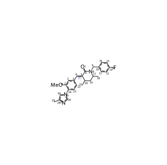 COc1cc(/C=C2/C(=O)N(Cc3ccc(F)cc3)C(C)CC2C)ccc1-n1cnc(C)c1